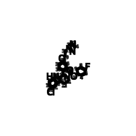 O=C(OC1C=CC(F)=CC1)N1CCc2c([nH]c3ccc(Cl)cc23)C1c1ccc(OCCn2cncn2)cc1